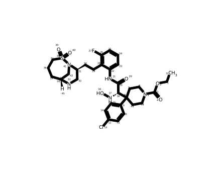 CCOC(=O)N1CCC(c2ccc(Cl)cc2)([C@H](NO)C(=O)Nc2cccc(F)c2CC[C@H]2CN[C@@H]3CCCS(=O)(=O)N2C3)CC1